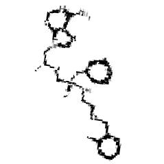 Cc1ccccc1COCCNP(=O)(CO[C@H](C)Cn1cnc2c(N)ncnc21)Oc1ccccc1